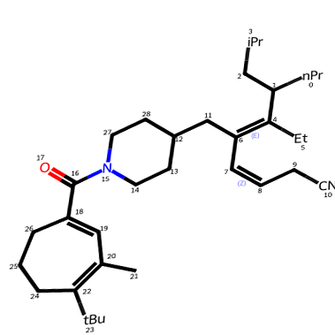 CCCC(CC(C)C)/C(CC)=C(/C=C\CC#N)CC1CCN(C(=O)C2=CC(C)=C(C(C)(C)C)CCC2)CC1